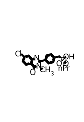 CCCOP(=O)(O)Cc1ccc(-c2nc3cc(Cl)ccc3c(=O)n2C)cc1